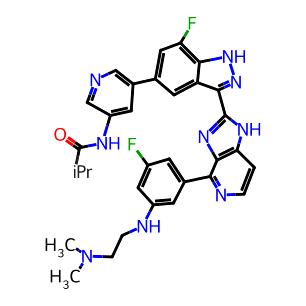 CC(C)C(=O)Nc1cncc(-c2cc(F)c3[nH]nc(-c4nc5c(-c6cc(F)cc(NCCN(C)C)c6)nccc5[nH]4)c3c2)c1